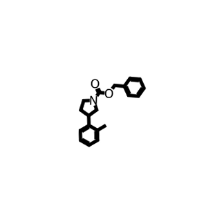 Cc1ccccc1C1CCN(C(=O)OCc2ccccc2)C1